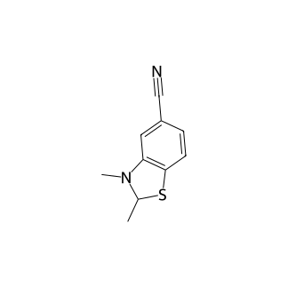 CC1Sc2ccc(C#N)cc2N1C